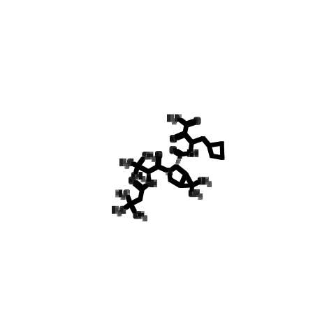 CC(C)(C)CC(=O)N[C@H](C(=O)N1CC2C([C@H]1C(=O)NC(CC1CCC1)C(=O)C(N)=O)C2(C)C)C(C)(C)C